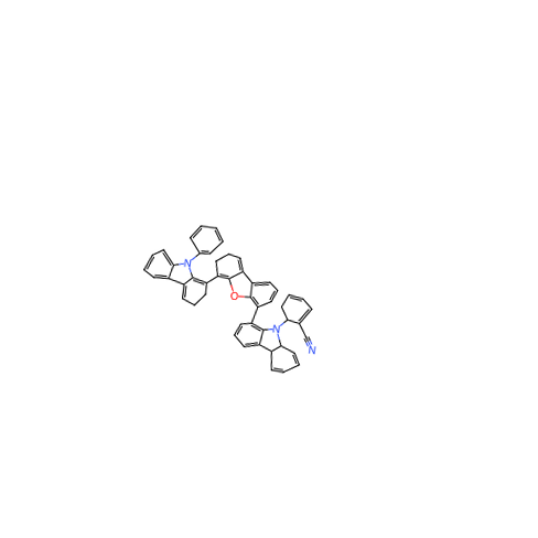 N#CC1=CC=CCC1N1c2c(-c3cccc4c5c(oc34)=C(C3=c4c(c6ccccc6n4-c4ccccc4)=CCC3)CCC=5)cccc2C2C=CC=CC21